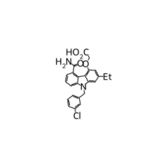 CCc1cc(OCC(=O)O)c2c3c(C(N)=O)cccc3n(Cc3cccc(Cl)c3)c2c1